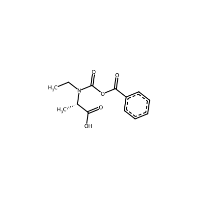 CCN(C(=O)OC(=O)c1ccccc1)[C@@H](C)C(=O)O